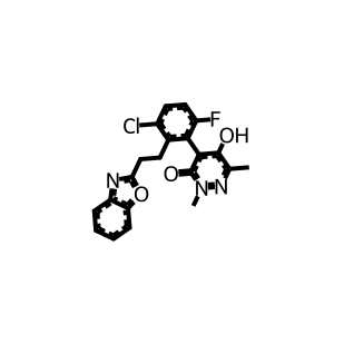 Cc1nn(C)c(=O)c(-c2c(F)ccc(Cl)c2CCc2nc3ccccc3o2)c1O